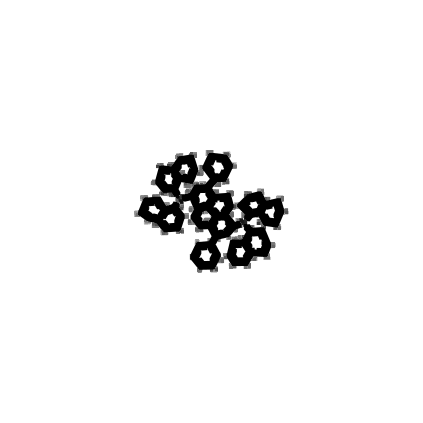 c1ccc(-c2cc(N(c3cccc4ccccc34)c3cccc4ccccc34)c3ccc4c(-c5ccccc5)cc(N(c5cccc6ccccc56)c5cccc6ccccc56)c5ccc2c3c45)cc1